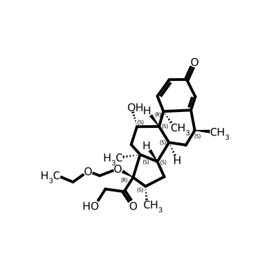 CCOCO[C@]1(C(=O)CO)[C@@H](C)C[C@H]2[C@@H]3C[C@H](C)C4=CC(=O)C=C[C@]4(C)[C@H]3[C@@H](O)C[C@@]21C